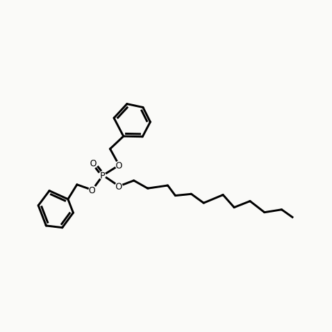 CCCCCCCCCCCCOP(=O)(OCc1ccccc1)OCc1ccccc1